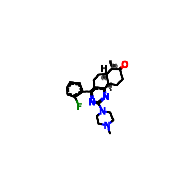 C[C@H]1C(=O)CC[C@@]2(C)c3nc(N4CCN(C)CC4)nc(-c4ccccc4F)c3CC[C@H]12